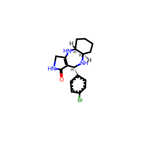 O=C1NCC2=C1[C@@H](c1ccc(Br)cc1)N[C@@H]1CCCC[C@H]1N2